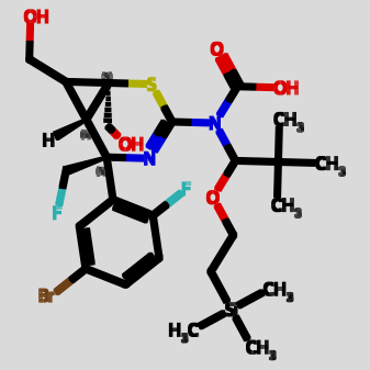 CC(C)(C)C(OCC[Si](C)(C)C)N(C(=O)O)C1=N[C@](CF)(c2cc(Br)ccc2F)[C@@H]2C(CO)[C@@]2(CO)S1